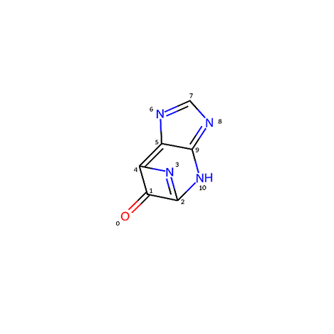 O=c1c2nc1c1ncnc1[nH]2